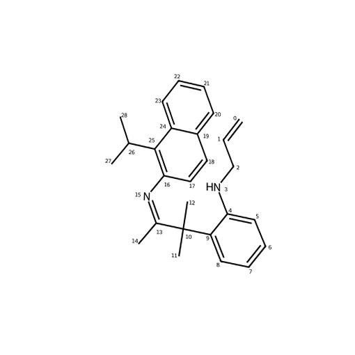 C=CCNc1ccccc1C(C)(C)/C(C)=N\c1ccc2ccccc2c1C(C)C